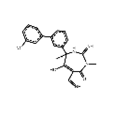 CN1C(=N)NC(C)(c2cccc(-c3cccc(C#N)c3)c2)C(O)=C(C=N)C1=O